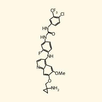 COc1cc2c(Nc3ccc(NC(=O)Nc4ccc(Cl)c(C(F)(F)F)c4)cc3F)ccnc2cc1OCC1(N)CC1